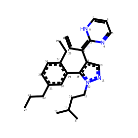 C=C/C(=C1/N=CC=CN1)c1cnn(CCC(C)C)c1-c1cc(CCC)ccc1CC